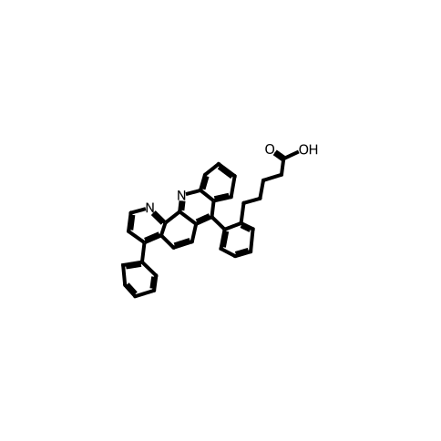 O=C(O)CCCCc1ccccc1-c1c2ccccc2nc2c1ccc1c(-c3ccccc3)ccnc12